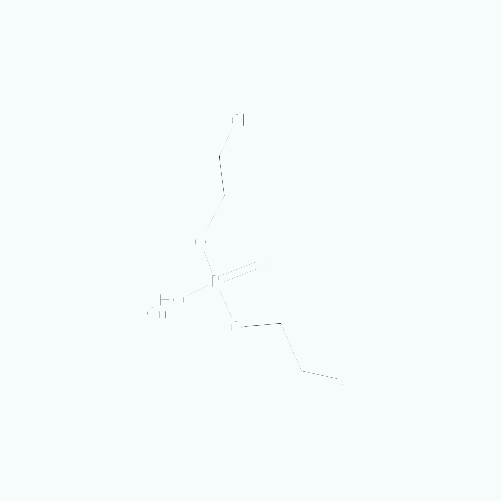 O=P(O)(OCCCl)OCCCl.[Cu]